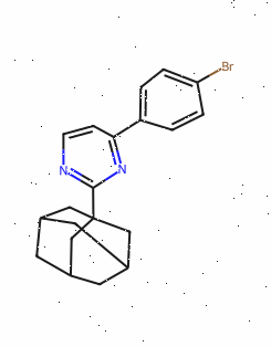 Brc1ccc(-c2ccnc(C34CC5CC(CC(C5)C3)C4)n2)cc1